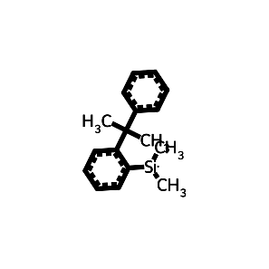 C[Si](C)c1ccccc1C(C)(C)c1ccccc1